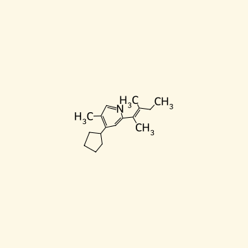 CC/C(C)=C(\C)c1cc(C2CCCC2)c(C)cn1